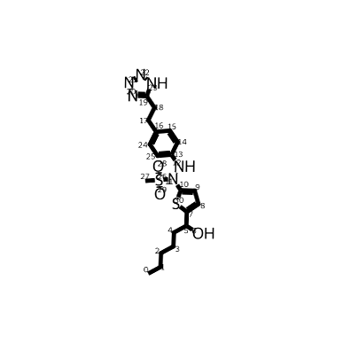 CCCCCC(O)c1ccc(N(Nc2ccc(CCc3nnn[nH]3)cc2)S(C)(=O)=O)s1